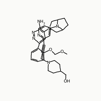 COCOc1ccccc1-c1cc(N2CC3CCC(C2)N3c2ccnc(C#CCN3CCC(CO)CC3)c2)c(N)nn1